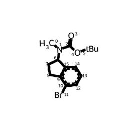 CN(C(=O)OC(C)(C)C)C1CCc2c(Br)cccc21